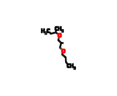 CCCCOC[CH]COC(C)CC